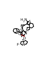 CC(C)(C)OC(=O)N1C2CCC1CN(c1nc(OC[C@@]34CCCN3C[C@H](F)C4)nc(N3CC4(CCCc5sc(N)c(C#N)c54)C3)c1C#N)C2